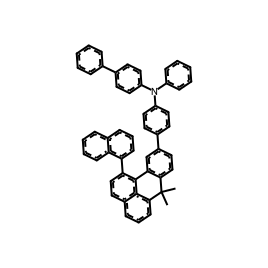 CC1(C)c2ccc(-c3ccc(N(c4ccccc4)c4ccc(-c5ccccc5)cc4)cc3)cc2-c2c(-c3cccc4ccccc34)ccc3cccc1c23